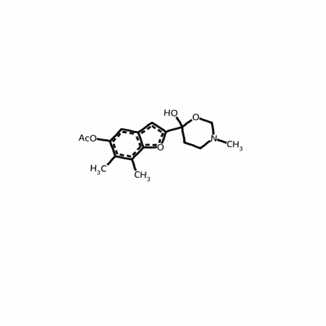 CC(=O)Oc1cc2cc(C3(O)CCN(C)CO3)oc2c(C)c1C